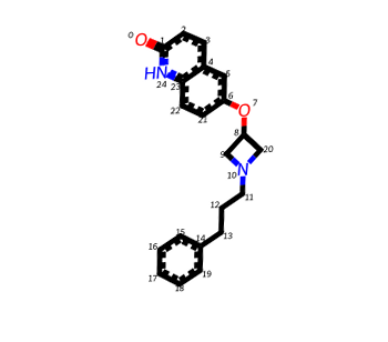 O=c1ccc2cc(OC3CN(CCCc4ccccc4)C3)ccc2[nH]1